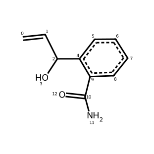 C=CC(O)c1ccccc1C(N)=O